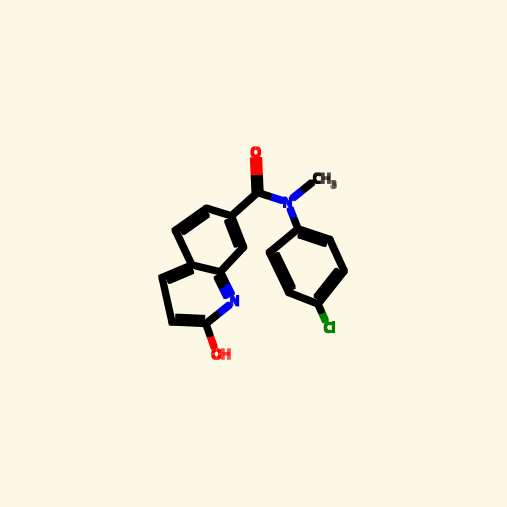 CN(C(=O)c1ccc2ccc(O)nc2c1)c1ccc(Cl)cc1